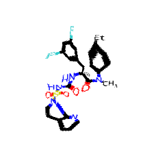 CCc1ccc(N(C)C(=O)[C@H](Cc2cc(F)cc(F)c2)NC(=O)NS(=O)(=O)N2CCc3cccnc32)cc1